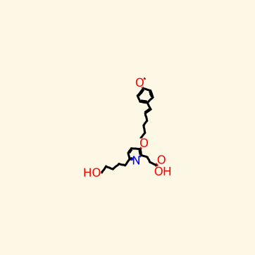 COc1ccc(/C=C/CCCCOc2ccc(CCCCCO)nc2CCC(=O)O)cc1